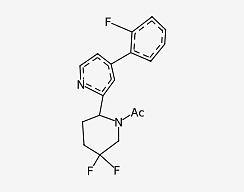 CC(=O)N1CC(F)(F)CCC1c1cc(-c2ccccc2F)ccn1